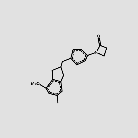 COc1cc(C)cc2c1CC(Cc1ccc(N3CCC3=O)cc1)C2